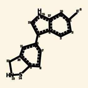 Fc1ccc2c(-c3ccc4c(c3)CNS4)c[nH]c2c1